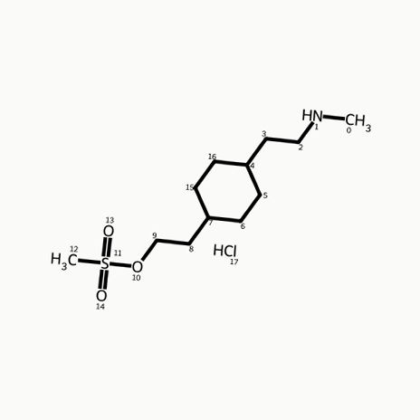 CNCCC1CCC(CCOS(C)(=O)=O)CC1.Cl